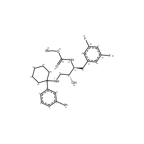 CC(C)c1cccc(C2(NC[C@@H](O)[C@H](Cc3cc(F)cc(F)c3)NC(=O)OC(C)(C)C)CCCCC2)c1